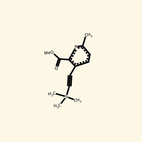 COC(=O)c1nc(C)ccc1C#C[Si](C)(C)C